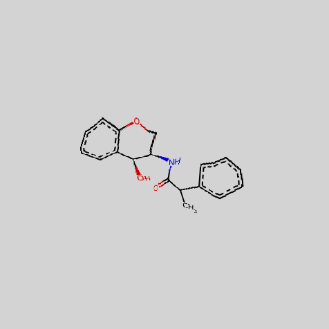 CC(C(=O)N[C@@H]1COc2ccccc2[C@@H]1O)c1ccccc1